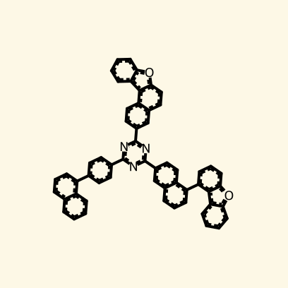 c1ccc2c(-c3ccc(-c4nc(-c5ccc6c(-c7cccc8oc9ccccc9c78)cccc6c5)nc(-c5ccc6c(ccc7oc8ccccc8c76)c5)n4)cc3)cccc2c1